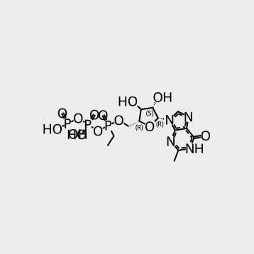 CCP(=O)(OC[C@H]1O[C@@H](n2cnc3c(=O)[nH]c(C)nc32)[C@@H](O)C1O)OP(=O)(O)OP(=O)(O)O